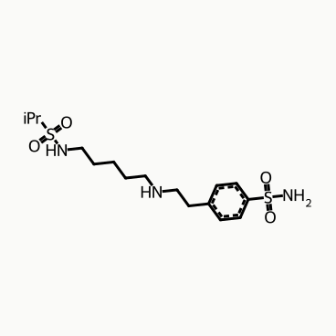 CC(C)S(=O)(=O)NCCCCCNCCc1ccc(S(N)(=O)=O)cc1